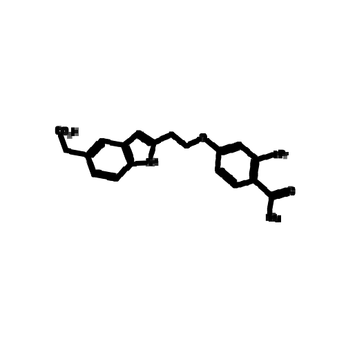 CCCCC(=O)c1ccc(OCCc2cc3cc(CC(=O)O)ccc3[nH]2)cc1CCC